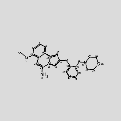 COc1cccc2c1nc(N)n1cc(Cc3ccccc3CN3CCOCC3)nc21